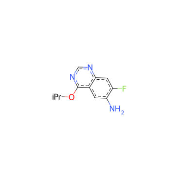 CC(C)Oc1ncnc2cc(F)c(N)cc12